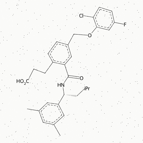 Cc1cc(C)cc([C@@H](CC(C)C)NC(=O)c2cc(COc3cc(F)ccc3Cl)ccc2CCC(=O)O)c1